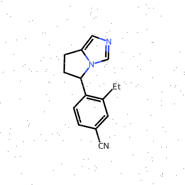 CCc1cc(C#N)ccc1C1CCc2cncn21